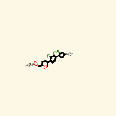 CCCOCC1CCC(c2ccc(-c3ccc(CCC)cc3F)c(F)c2F)CO1